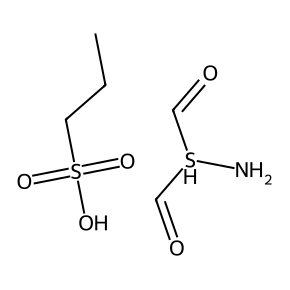 CCCS(=O)(=O)O.N[SH](C=O)C=O